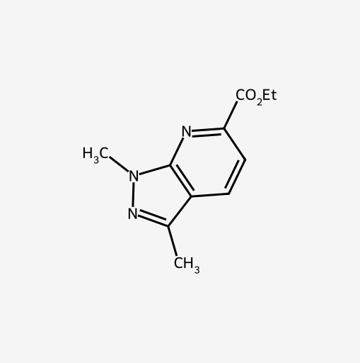 CCOC(=O)c1ccc2c(C)nn(C)c2n1